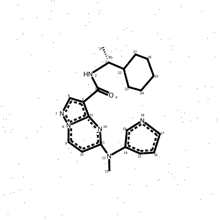 C[C@@H](NC(=O)c1cnn2ccc(N(C)c3cccnc3)nc12)C1CCCCC1